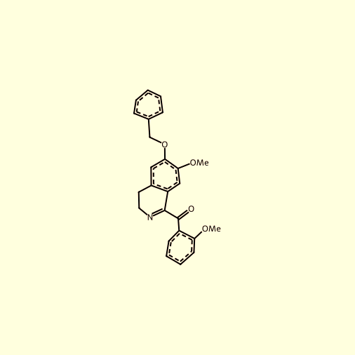 COc1cc2c(cc1OCc1ccccc1)CCN=C2C(=O)c1ccccc1OC